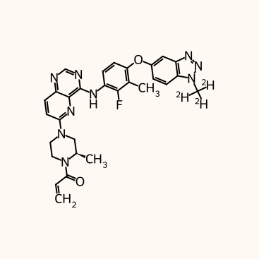 [2H]C([2H])([2H])n1nnc2cc(Oc3ccc(Nc4ncnc5ccc(N6CCN(C(=O)C=C)[C@H](C)C6)nc45)c(F)c3C)ccc21